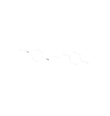 CN[C@H]1CC[C@@H](C(C)CCNC2CCC(C(C)C)CC2)CC1